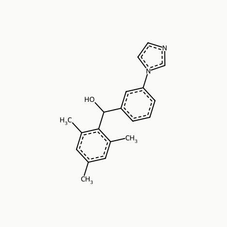 Cc1cc(C)c(C(O)c2cccc(-n3ccnc3)c2)c(C)c1